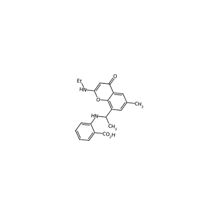 CCNc1cc(=O)c2cc(C)cc(C(C)Nc3ccccc3C(=O)O)c2o1